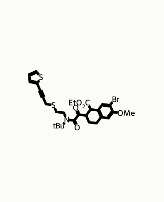 CCOC(=O)C1c2cc(Br)c(OC)cc2CCC1C(=O)C(=O)N(CCSCC#Cc1cccs1)C(C)(C)C